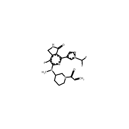 C=CC(=O)N1CCCC(N(C)c2nc(-c3cnn(C(F)F)c3)c3c(c2F)CNC3=O)C1